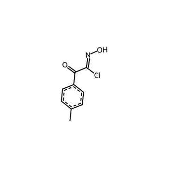 Cc1ccc(C(=O)C(Cl)=NO)cc1